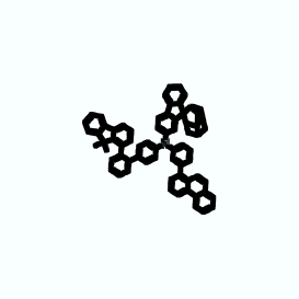 CC1(C)c2ccccc2-c2cccc(-c3ccccc3-c3ccc(N(c4cccc(-c5cccc6c5ccc5ccccc56)c4)c4ccc5c(c4)C4(c6ccccc6-5)C5CC6CC(C5)CC4C6)cc3)c21